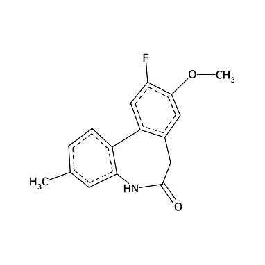 COc1cc2c(cc1F)-c1ccc(C)cc1NC(=O)C2